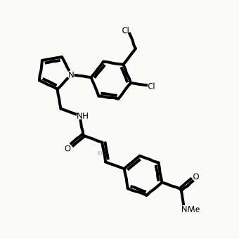 CNC(=O)c1ccc(/C=C/C(=O)NCc2cccn2-c2ccc(Cl)c(CCl)c2)cc1